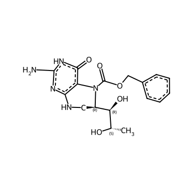 C[C@H](O)[C@H](O)[C@H]1CNc2nc(N)[nH]c(=O)c2N1C(=O)OCc1ccccc1